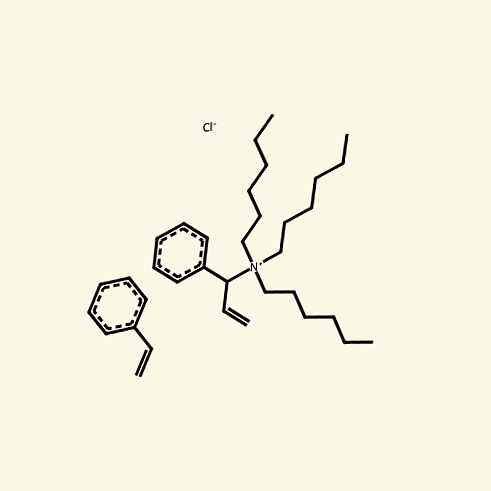 C=CC(c1ccccc1)[N+](CCCCCC)(CCCCCC)CCCCCC.C=Cc1ccccc1.[Cl-]